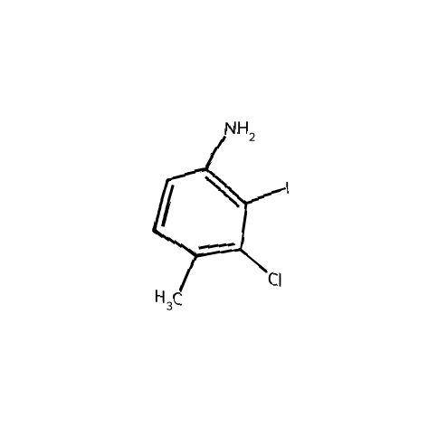 Cc1ccc(N)c(I)c1Cl